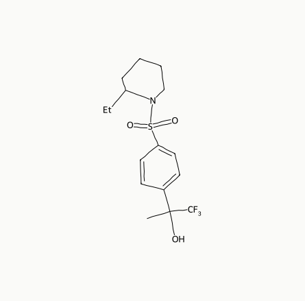 CCC1CCCCN1S(=O)(=O)c1ccc(C(C)(O)C(F)(F)F)cc1